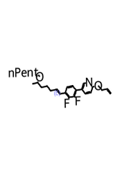 C=CCOc1ccc(-c2ccc(/C=C/CCCC(C)OCCCCC)c(F)c2F)cn1